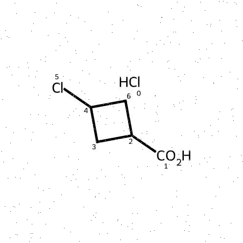 Cl.O=C(O)C1CC(Cl)C1